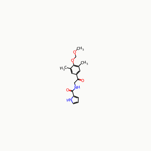 COCOc1c(C)cc(C(=O)CNC(=O)c2ccc[nH]2)cc1C